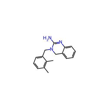 Cc1cccc(CN2Cc3ccccc3N=C2N)c1C